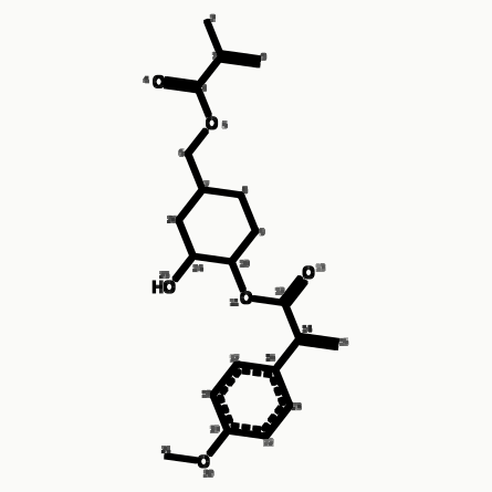 C=C(C)C(=O)OCC1CCC(OC(=O)C(=C)c2ccc(OC)cc2)C(O)C1